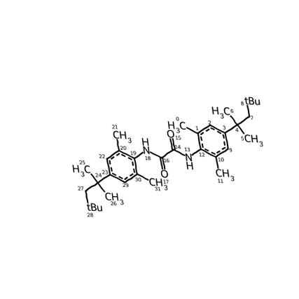 Cc1cc(C(C)(C)CC(C)(C)C)cc(C)c1NC(=O)C(=O)Nc1c(C)cc(C(C)(C)CC(C)(C)C)cc1C